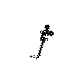 O=C1C(=Cc2ccc(OCCCCCCCCCCS(=O)(=O)O)c(Cl)c2)N=C2C(Cc3ccccc3)=NC(c3ccccc3)=CN12